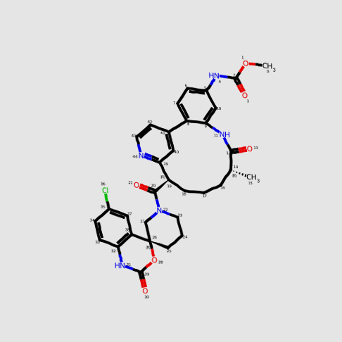 COC(=O)Nc1ccc2c(c1)NC(=O)[C@H](C)CCC[C@@H](C(=O)N1CCC[C@@]3(C1)OC(=O)Nc1ccc(Cl)cc13)c1cc-2ccn1